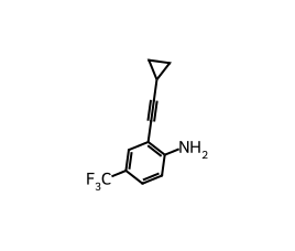 Nc1ccc(C(F)(F)F)cc1C#CC1CC1